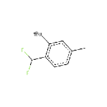 Cc1ccc(C(F)F)c(C(C)(C)C)c1